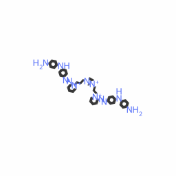 Nc1ccc(Nc2ccc(/N=N/c3cccc[n+]3CCCn3cc[n+](CCC[n+]4ccccc4/N=N/c4ccc(Nc5ccc(N)cc5)cc4)c3)cc2)cc1